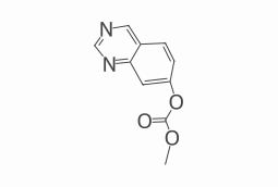 COC(=O)Oc1ccc2cncnc2c1